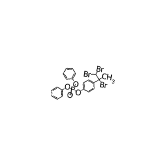 CC(Br)(c1ccc(OP(=O)(Oc2ccccc2)Oc2ccccc2)cc1)C(Br)Br